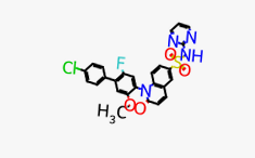 COc1cc(-c2ccc(Cl)cc2)c(F)cc1-n1c(=O)ccc2cc(S(=O)(=O)Nc3ncccn3)ccc21